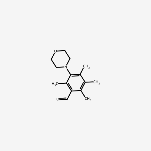 Cc1c(C)c(C=O)c(C)c(N2CCOCC2)c1C